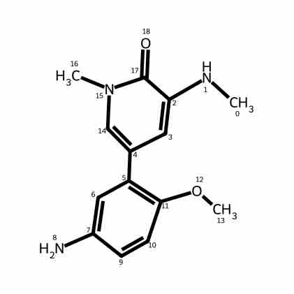 CNc1cc(-c2cc(N)ccc2OC)cn(C)c1=O